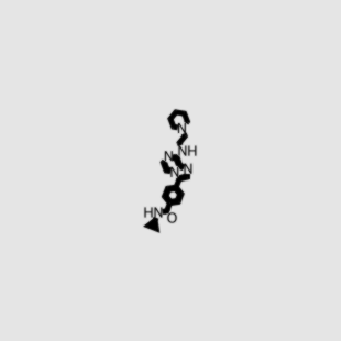 O=C(NC1CC1)c1ccc(-c2cnc3c(NCCN4CCCCC4)nccn23)cc1